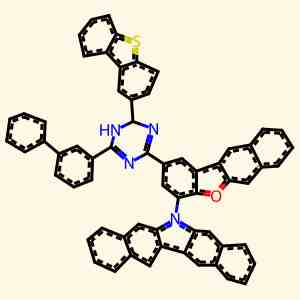 c1ccc(-c2cccc(C3=NC(c4cc(-n5c6cc7ccccc7cc6c6cc7ccccc7cc65)c5oc6cc7ccccc7cc6c5c4)=NC(c4ccc5sc6ccccc6c5c4)N3)c2)cc1